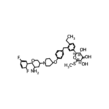 CCc1ccc([C@@H]2O[C@H](SC)[C@@H](O)[C@H](O)[C@H]2O)cc1Cc1ccc(OC2CCN(C3COC(C4C=C(F)C=CC4F)C(N)C3)CC2)cc1